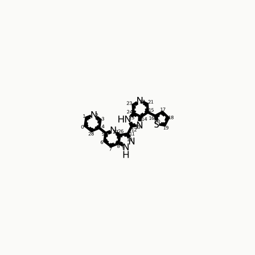 c1cncc(-c2ccc3[nH]nc(-c4nc5c(-c6cccs6)cncc5[nH]4)c3n2)c1